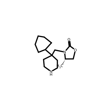 C[C@H]1COC(=O)N1CC1(C2CCCCC2)CCNCC1